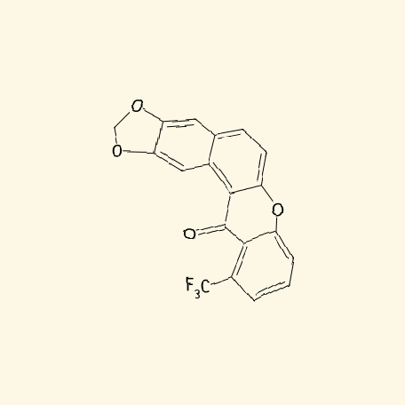 O=c1c2c(C(F)(F)F)cccc2oc2ccc3cc4c(cc3c12)OCO4